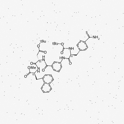 COC(=O)[C@H](Cc1cccc2ccccc12)NC(=O)[C@H](CC(=O)OC(C)(C)C)NC(=O)c1cccc(NC(=O)[C@H](Cc2ccc(C(N)=S)cc2)NC(=O)OC(C)(C)C)c1